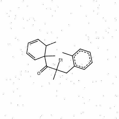 CCC(C)(Cc1ccccc1C)C(=O)C1(C)C=CC=CC1C